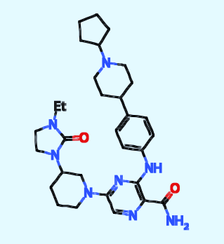 CCN1CCN(C2CCCN(c3cnc(C(N)=O)c(Nc4ccc(C5CCN(C6CCCC6)CC5)cc4)n3)C2)C1=O